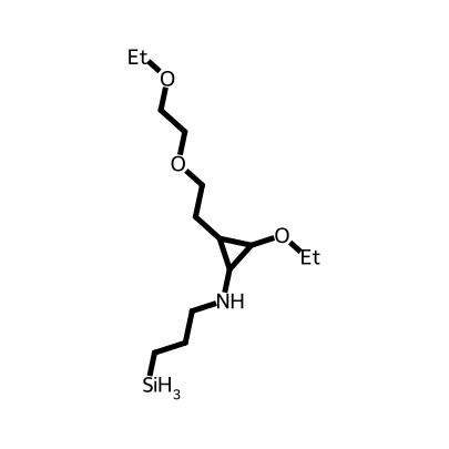 CCOCCOCCC1C(NCCC[SiH3])C1OCC